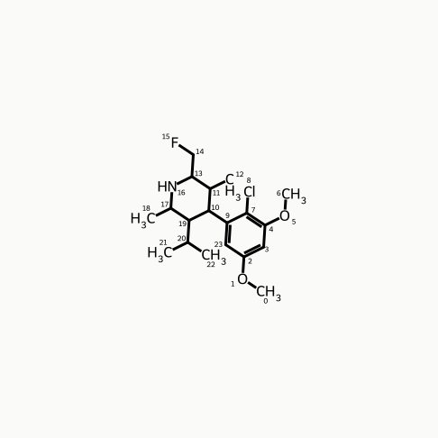 COc1cc(OC)c(Cl)c(C2C(C)C(CF)NC(C)C2C(C)C)c1